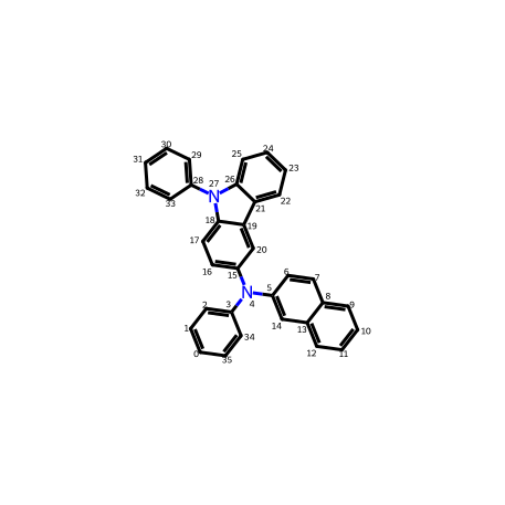 c1ccc(N(c2ccc3ccccc3c2)c2ccc3c(c2)c2ccccc2n3-c2ccccc2)cc1